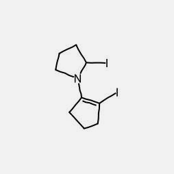 IC1=C(N2CCCC2I)CCC1